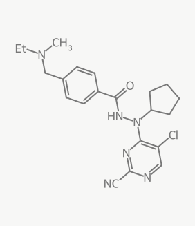 CCN(C)Cc1ccc(C(=O)NN(c2nc(C#N)ncc2Cl)C2CCCC2)cc1